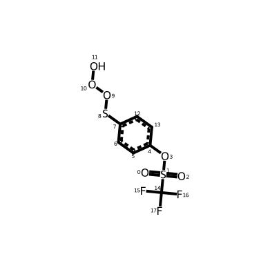 O=S(=O)(Oc1ccc(SOOO)cc1)C(F)(F)F